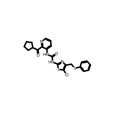 O=C(Nc1nc(CSc2ccccc2)c(Cl)s1)Nc1cccnc1C(=O)C1CCCC1